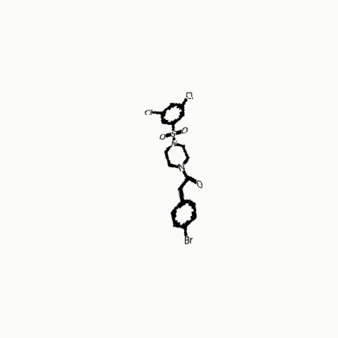 O=C(Cc1ccc(Br)cc1)N1CCN(S(=O)(=O)c2cc(Cl)cc(Cl)c2)CC1